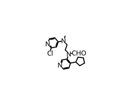 CN(CCN(C=O)c1cnccc1C1CCCC1)c1ccnc(Cl)c1